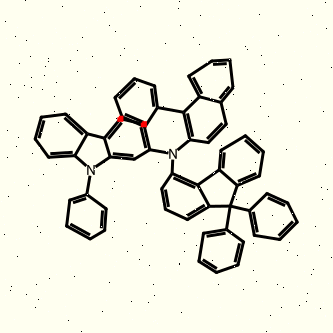 c1ccc(-c2c(N(c3ccc4c5ccccc5n(-c5ccccc5)c4c3)c3cccc4c3-c3ccccc3C4(c3ccccc3)c3ccccc3)ccc3ccccc23)cc1